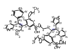 CCOc1cc(B(O)OCC/C(=C(/c2ccccc2)c2ccsc2)c2cc(OCI)cc(B(O)O)c2)cc(/C(CC)=C(\c2ccccc2)c2cccnc2)c1